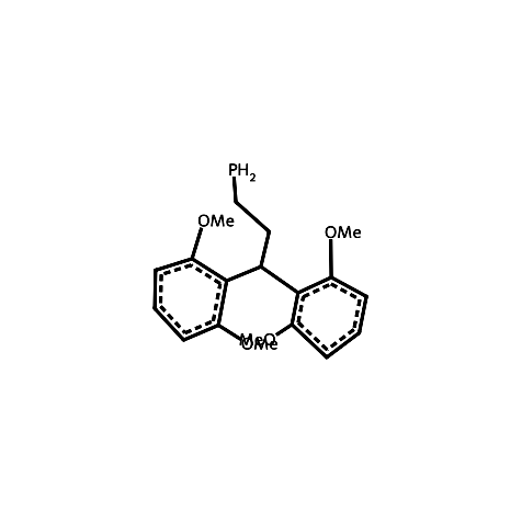 COc1cccc(OC)c1C(CCP)c1c(OC)cccc1OC